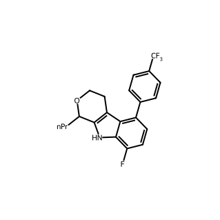 CCCC1OCCc2c1[nH]c1c(F)ccc(-c3ccc(C(F)(F)F)cc3)c21